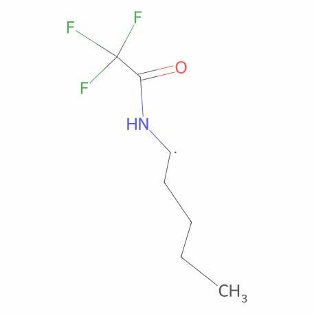 CCCC[CH]NC(=O)C(F)(F)F